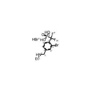 Br.CCNCc1ccc(C(F)(F)P(=O)(O)O)c(Br)c1